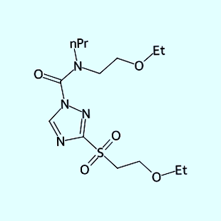 CCCN(CCOCC)C(=O)n1cnc(S(=O)(=O)CCOCC)n1